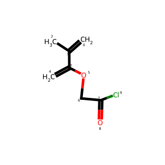 C=C(C)C(=C)OCC(=O)Cl